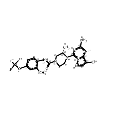 Cc1cc(OC(F)(F)F)ccc1NC(=O)N1CCN(c2nc(N)nc3c(Cl)cnn23)[C@@H](C)C1